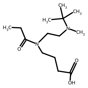 CCC(=O)N(CCCC(=O)O)CCN(C)C(C)(C)C